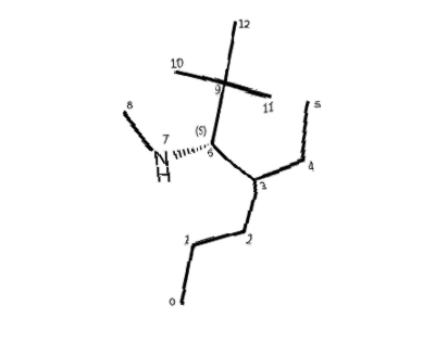 CCCC(CC)[C@H](NC)C(C)(C)C